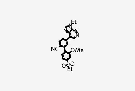 CCn1cnc2c(-c3ccc(C#N)c(-c4ccc(S(=O)(=O)CC)cc4OC)c3)cnnc21